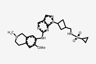 COc1cc2c(cc1Nc1ncc3cnn(C4CC(CNS(=O)(=O)C5CC5)C4)c3n1)CN(C)CC2